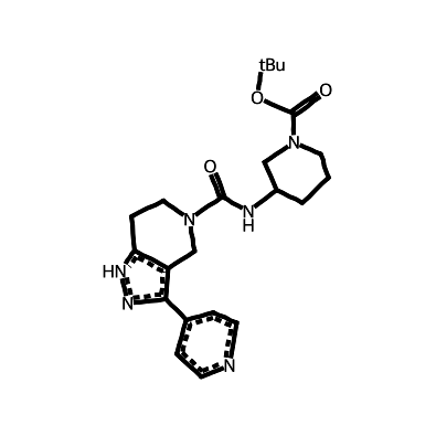 CC(C)(C)OC(=O)N1CCCC(NC(=O)N2CCc3[nH]nc(-c4ccncc4)c3C2)C1